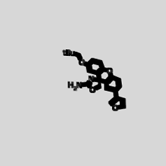 CC(C)(C)COc1ccc2c(c1)[C@]1(COC(N)=N1)c1cc(-c3ccoc3)ccc1O2